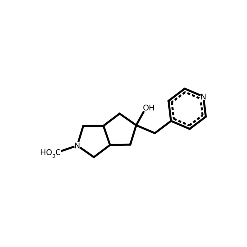 O=C(O)N1CC2CC(O)(Cc3ccncc3)CC2C1